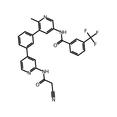 Cc1ncc(NC(=O)c2cccc(C(F)(F)F)c2)cc1-c1cccc(-c2ccnc(NC(=O)CC#N)c2)c1